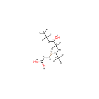 CC(C)C(C)(C)CC(O)C(C)(C)CC(SCCC(=O)O)C(C)(C)C